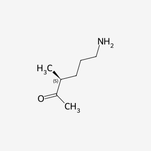 CC(=O)[C@@H](C)CCCN